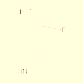 CC(F)CC=N